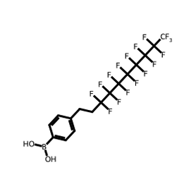 OB(O)c1ccc(CCC(F)(F)C(F)(F)C(F)(F)C(F)(F)C(F)(F)C(F)(F)C(F)(F)C(F)(F)F)cc1